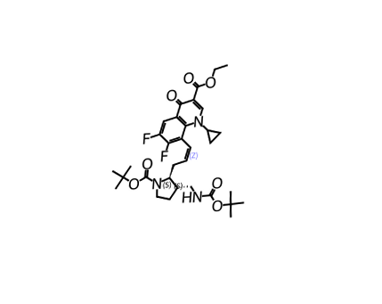 CCOC(=O)c1cn(C2CC2)c2c(/C=C\C[C@H]3[C@H](CNC(=O)OC(C)(C)C)CCN3C(=O)OC(C)(C)C)c(F)c(F)cc2c1=O